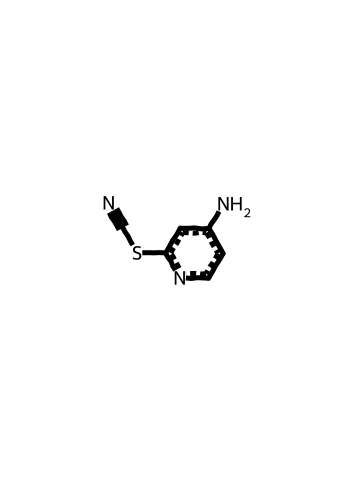 N#CSc1cc(N)ccn1